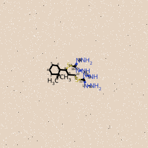 CC1(C)CCCCC1C(CCSC(N=N)=NN)SC(N=N)=NN